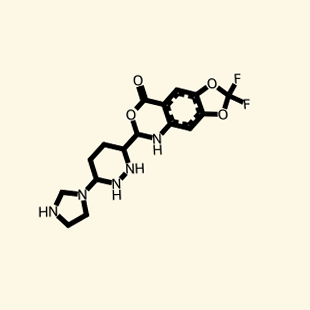 O=C1OC(C2CCC(N3CCNC3)NN2)Nc2cc3c(cc21)OC(F)(F)O3